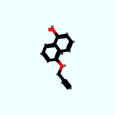 C#CCOc1cccc2c(O)cccc12